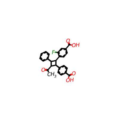 CC(=O)C1C(c2ccccc2)C(c2ccc(C(=O)O)cc2F)C1c1ccc(C(=O)O)cc1